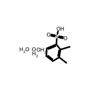 Cc1cccc(S(=O)(=O)O)c1C.O.O.O